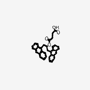 O=C(O)CCC(=O)OC(Cc1c2ccccc2cc2ccccc12)Cc1c2ccccc2cc2ccccc12